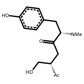 CN[C@@H](Cc1ccc(O)cc1)C(=O)C[C@@H](CO)C(C)=O